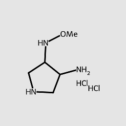 CONC1CNCC1N.Cl.Cl